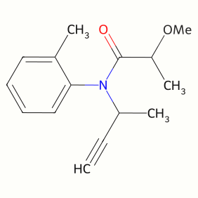 C#CC(C)N(C(=O)C(C)OC)c1ccccc1C